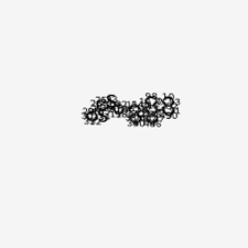 c1ccc2c(-c3c4ccccc4c(-c4ccc(-c5ccc6c(c5)sc5ccc7c8ccccc8sc7c56)c5ccccc45)c4ccccc34)cccc2c1